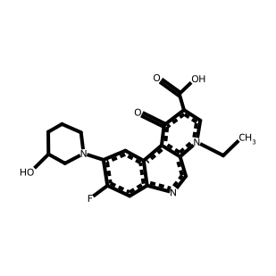 CCn1cc(C(=O)O)c(=O)c2c3cc(N4CCCC(O)C4)c(F)cc3ncc21